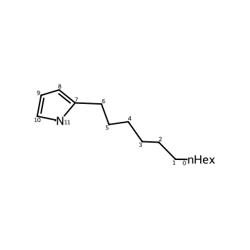 CCCCCCCCCCCCC1=CC=C[N]1